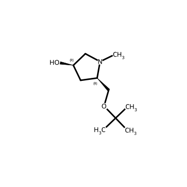 CN1C[C@H](O)C[C@@H]1COC(C)(C)C